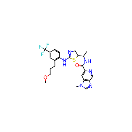 COCCCc1cc(C(F)(F)F)ccc1NC1=NCC(C(C)NC(=O)c2cc3c(cn2)ncn3C)S1